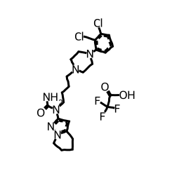 NC(=O)N(CCCCN1CCN(c2cccc(Cl)c2Cl)CC1)c1cc2n(n1)CCCC2.O=C(O)C(F)(F)F